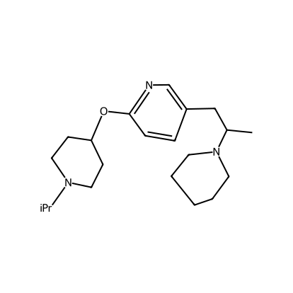 CC(C)N1CCC(Oc2ccc(CC(C)N3CCCCC3)cn2)CC1